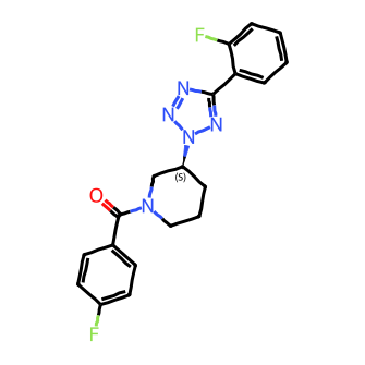 O=C(c1ccc(F)cc1)N1CCC[C@H](n2nnc(-c3ccccc3F)n2)C1